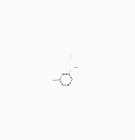 CCOP(CC)c1cccc(C)c1